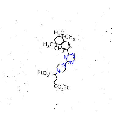 CCOC(=O)CCC(C(=O)OCC)N1CCN(c2ncnc(-c3ccc4c(c3)C(C)(C)CCC4(C)C)n2)CC1